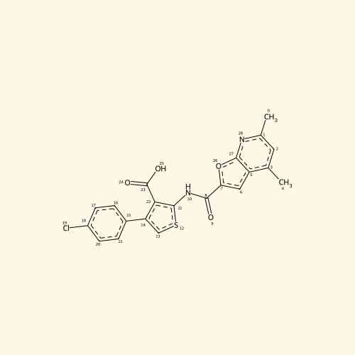 Cc1cc(C)c2cc(C(=O)Nc3scc(-c4ccc(Cl)cc4)c3C(=O)O)oc2n1